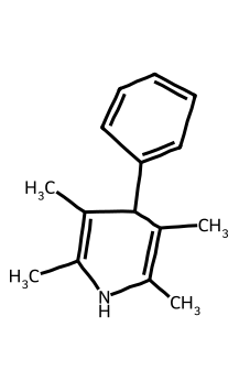 CC1=C(C)C(c2ccccc2)C(C)=C(C)N1